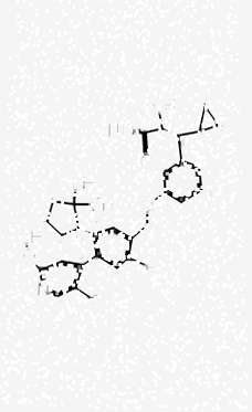 COc1cc(-c2cc(F)c(COc3cccc([C@H](C4CC4)C(C)C(=O)O)c3)cc2[C@H]2CCCC2(C)C)c(F)cn1